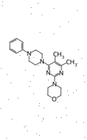 Cc1nc(N2CCOCC2)nc(N2CCN(c3ccccc3)CC2)c1C